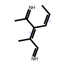 C/C=C\C(C(C)=N)=C(\C)C=N